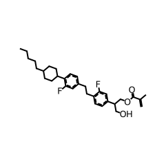 C=C(C)C(=O)OCC(CO)c1ccc(CCc2ccc(C3CCC(CCCCC)CC3)c(F)c2)c(F)c1